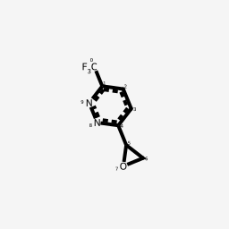 FC(F)(F)c1ccc(C2CO2)nn1